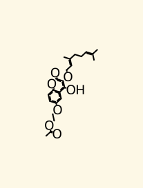 CC(=O)OCCOc1ccc2oc(=O)c(OC/C=C(\C)CCC=C(C)C)c(O)c2c1